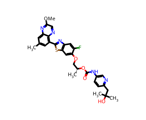 COc1cnc2c(-c3nc4cc(F)c(OC[C@@H](C)OC(=O)Nc5ccc(CC(C)(C)O)nc5)cc4s3)cc(C)cc2n1